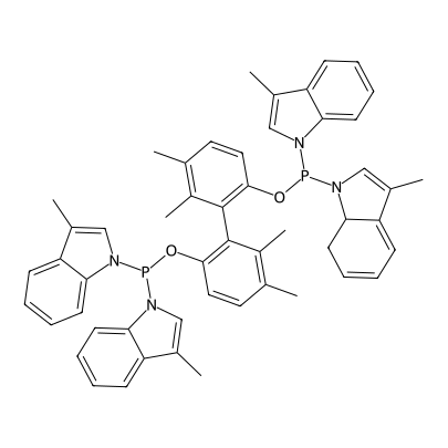 CC1=CN(P(Oc2ccc(C)c(C)c2-c2c(OP(n3cc(C)c4ccccc43)n3cc(C)c4ccccc43)ccc(C)c2C)n2cc(C)c3ccccc32)C2CC=CC=C12